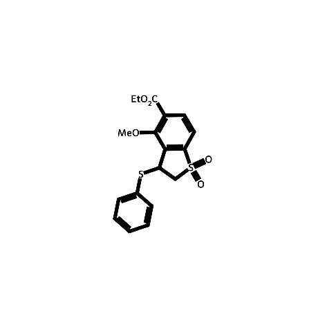 CCOC(=O)c1ccc2c(c1OC)C(Sc1ccccc1)CS2(=O)=O